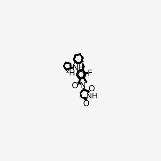 [2H]C1(N[C@H]2CCCC[C@@H]2Cc2ccc3c(c2F)CN(C2CCC(=O)NC2=O)C3=O)CCCC1